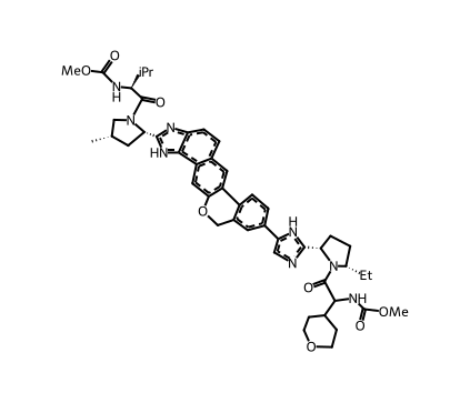 CC[C@H]1CC[C@@H](c2ncc(-c3ccc4c(c3)COc3cc5c(ccc6nc([C@@H]7C[C@H](C)CN7C(=O)[C@@H](NC(=O)OC)C(C)C)[nH]c65)cc3-4)[nH]2)N1C(=O)C(NC(=O)OC)C1CCOCC1